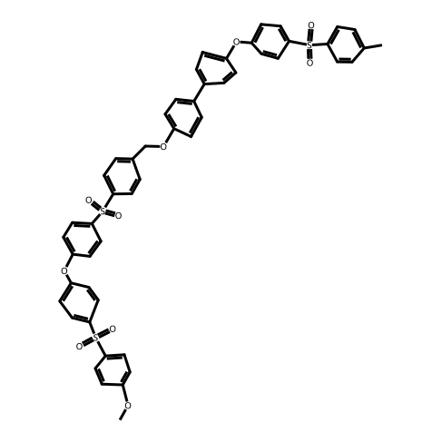 COc1ccc(S(=O)(=O)c2ccc(Oc3ccc(S(=O)(=O)c4ccc(COc5ccc(-c6ccc(Oc7ccc(S(=O)(=O)c8ccc(C)cc8)cc7)cc6)cc5)cc4)cc3)cc2)cc1